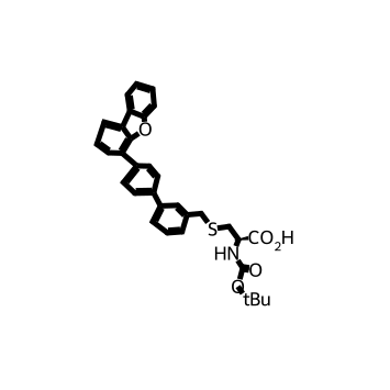 CC(C)(C)OC(=O)N[C@@H](CSCc1cccc(-c2ccc(-c3cccc4c3oc3ccccc34)cc2)c1)C(=O)O